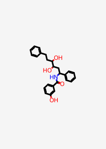 O=C(NC(CC(O)C(O)CCc1ccccc1)c1ccccc1)c1cccc(O)c1